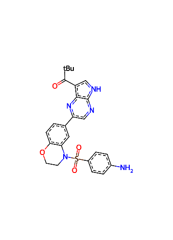 CC(C)(C)C(=O)c1c[nH]c2ncc(-c3ccc4c(c3)N(S(=O)(=O)c3ccc(N)cc3)CCO4)nc12